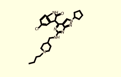 CCCCN1CCC(CNc2nc(C3C(=O)Nc4ccc(Cl)cc43)c3cn(C4CCCC4)nc3n2)CC1